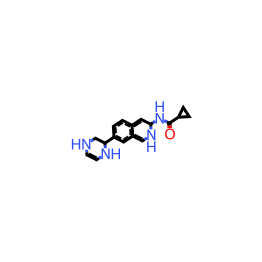 O=C(NC1C=c2ccc(C3CNC=CN3)cc2=CN1)C1CC1